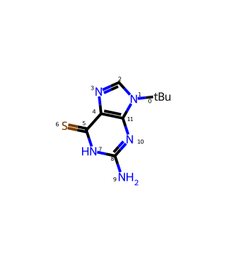 CC(C)(C)n1cnc2c(=S)[nH]c(N)nc21